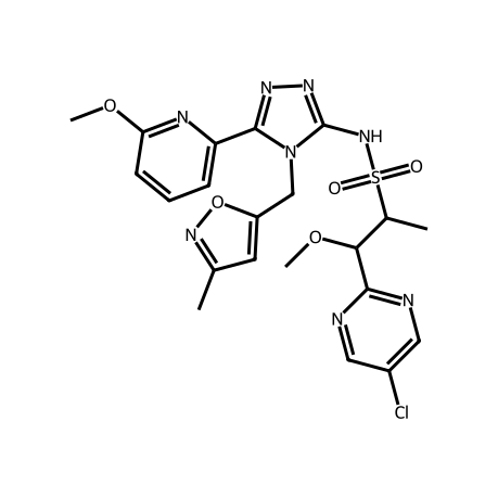 COc1cccc(-c2nnc(NS(=O)(=O)C(C)C(OC)c3ncc(Cl)cn3)n2Cc2cc(C)no2)n1